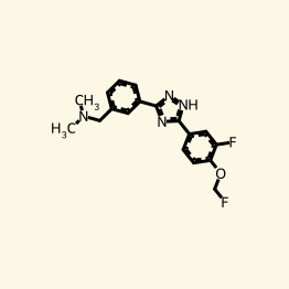 CN(C)Cc1cccc(-c2n[nH]c(-c3ccc(OCF)c(F)c3)n2)c1